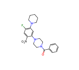 O=C(c1ccccc1)N1CCN(c2cc(N3CCCCC3)c(F)cc2[N+](=O)[O-])CC1